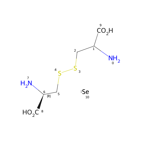 NC(CSSC[C@H](N)C(=O)O)C(=O)O.[Se]